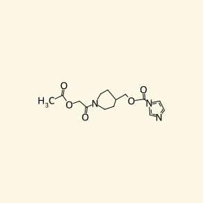 CC(=O)OCC(=O)N1CCC(COC(=O)n2ccnc2)CC1